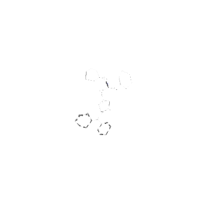 c1ccc(C(c2ccccc2)[C@H]2C[C@@H](N/C(=N\C3CCCCC3)NC3CCCCC3)CN2)cc1